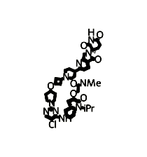 CNC(=O)COc1cc2cc(Nc3nc(N4CCC(OC5CC(N6CCC(c7ccc8c(n7)CN([C@@H]7CCC(=O)NC7=O)C8=O)CC6)C5)CC4)ncc3Cl)ccc2n(C(C)C)c1=O